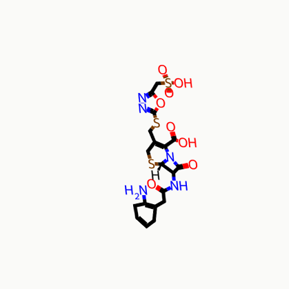 NC1=C(CC(=O)NC2C(=O)N3C(C(=O)O)=C(CSc4nnc(CS(=O)(=O)O)o4)CS[C@@H]23)CC=CC1